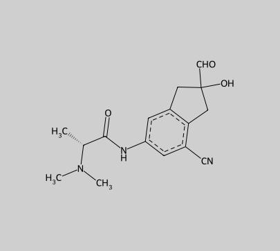 C[C@H](C(=O)Nc1cc(C#N)c2c(c1)CC(O)(C=O)C2)N(C)C